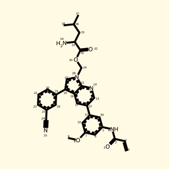 C=CC(=O)Nc1cc(OC)cc(-c2cnc3c(c2)c(-c2cccc(C#N)c2)cn3COC(=O)C(N)CC(C)C)c1